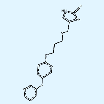 O=c1[nH]nc(CSCCCOc2ccc(Sc3ccccc3)cc2)[nH]1